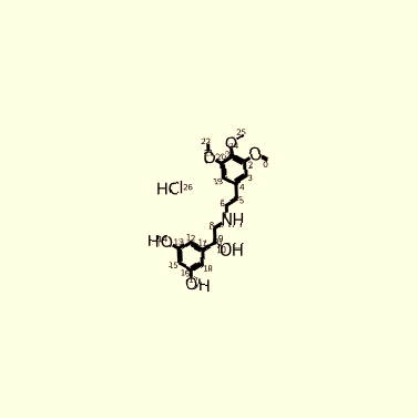 COc1cc(CCNC[C@H](O)c2cc(O)cc(O)c2)cc(OC)c1OC.Cl